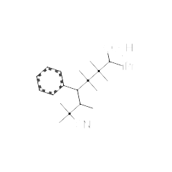 CC(C)C(C(=O)O)C(C)(C)C(C)(C)C(c1ccccc1)C(C)C(C)(C)C#N